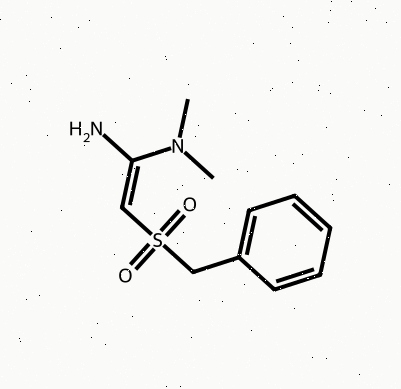 CN(C)C(N)=CS(=O)(=O)Cc1ccccc1